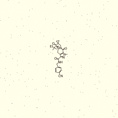 CCC(C)(C)S(=O)(=O)C1(CN2CCc3c(C(=O)NCc4ccc(C#N)cc4)nn(C)c3C2=O)CC1